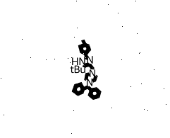 Cc1ccc(-c2nc(CN3CCN(C(c4ccccc4)c4ccccc4)CC3)c(C(C)(C)C)[nH]2)cc1